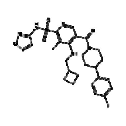 Cc1c(S(=O)(=O)Nc2ccon2)ncc(C(=O)N2CCC(c3ccc(F)cc3)CC2)c1NCC1CCC1